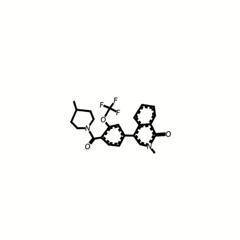 CC1CCN(C(=O)c2ccc(-c3cn(C)c(=O)c4ccccc34)cc2OC(F)(F)F)CC1